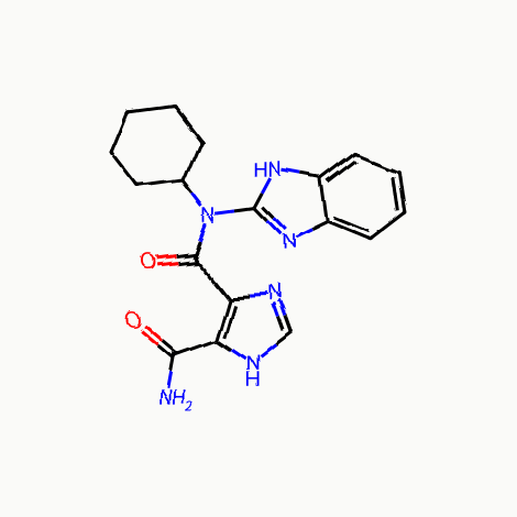 NC(=O)c1[nH]cnc1C(=O)N(c1nc2ccccc2[nH]1)C1CCCCC1